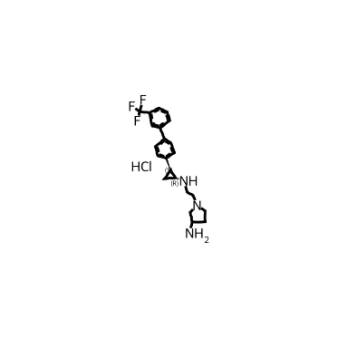 Cl.NC1CCN(CCN[C@@H]2C[C@H]2c2ccc(-c3cccc(C(F)(F)F)c3)cc2)C1